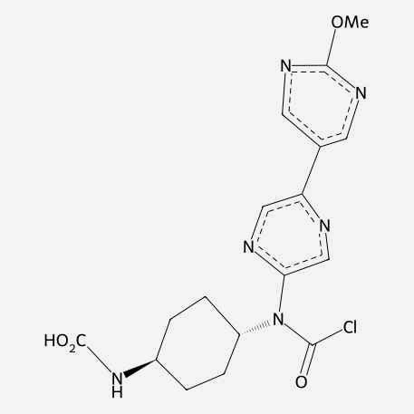 COc1ncc(-c2cnc(N(C(=O)Cl)[C@H]3CC[C@H](NC(=O)O)CC3)cn2)cn1